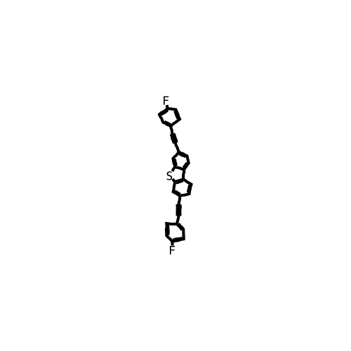 Fc1ccc(C#Cc2ccc3c(c2)sc2cc(C#Cc4ccc(F)cc4)ccc23)cc1